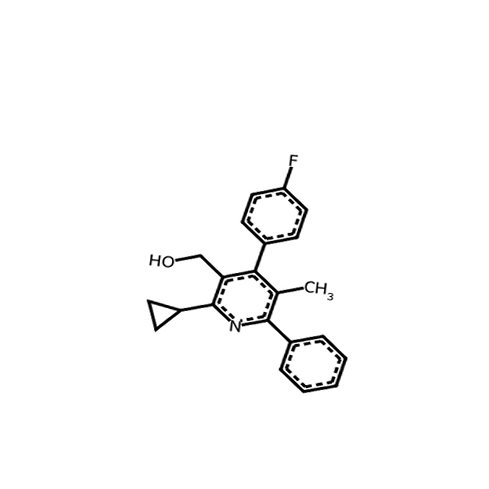 Cc1c(-c2ccccc2)nc(C2CC2)c(CO)c1-c1ccc(F)cc1